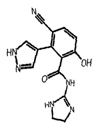 N#Cc1ccc(O)c(C(=O)NC2=NCCN2)c1-c1cn[nH]c1